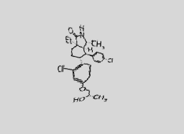 CC[C@@]12CC[C@@H](c3ccc(OCC(C)O)cc3Cl)[C@H](c3ccc(Cl)cc3)[C@@H]1[C@@H](C)NC2=O